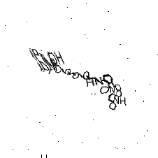 CC(C)N(C(C)C)P(O)OCCOCCOCCOCCNc1cccc2c1C(=O)N(C1CCC(=O)NC1=O)C2=O